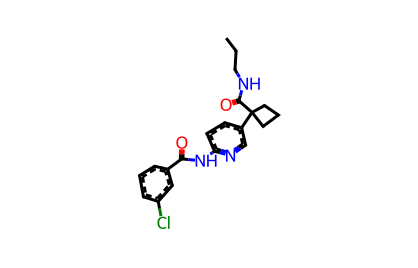 CCCNC(=O)C1(c2ccc(NC(=O)c3cccc(Cl)c3)nc2)CCC1